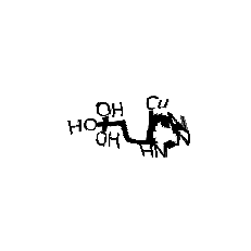 OC(O)(O)CCc1[nH]nn[c]1[Cu]